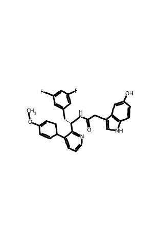 COC1=CCC(c2cccnc2[C@H](Cc2cc(F)cc(F)c2)NC(=O)Cc2c[nH]c3ccc(O)cc23)C=C1